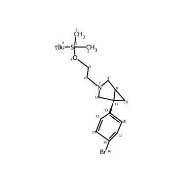 CC(C)(C)[Si](C)(C)OCCN1CC2C[C@]2(c2ccc(Br)cc2)C1